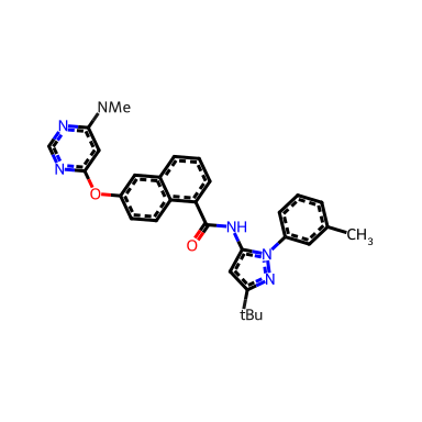 CNc1cc(Oc2ccc3c(C(=O)Nc4cc(C(C)(C)C)nn4-c4cccc(C)c4)cccc3c2)ncn1